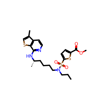 CCCN(CCCC[C@H](C)Nc1nccc2c(C)csc12)S(=O)(=O)c1ccc(C(=O)OC)s1